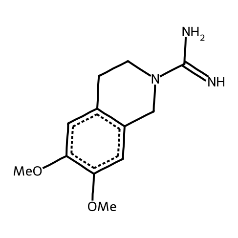 COc1cc2c(cc1OC)CN(C(=N)N)CC2